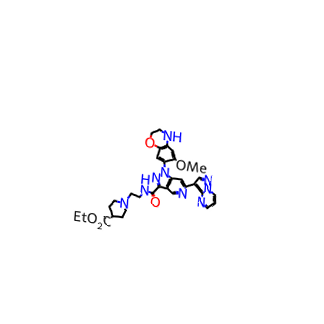 CCOC(=O)C1CCN(CCNC(=O)c2nn(-c3cc4c(cc3OC)NCCO4)c3cc(-c4cnn5cccnc45)ncc23)CC1